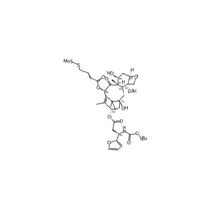 CSSCCCC(=O)O[C@H]1C(=O)[C@@]2(C)[C@H](C[C@]3(O)C[C@H](OC(=O)C[C@@H](NC(=O)OC(C)(C)C)c4ccco4)C(C)=C1C3(C)C)[C@]1(OC(C)=O)CO[C@@H]1C[C@@H]2O